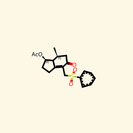 CC(=O)O[C@@H]1CCC2=C(CS(=O)(=O)c3ccccc3)C(=O)C[C@H](C)C21